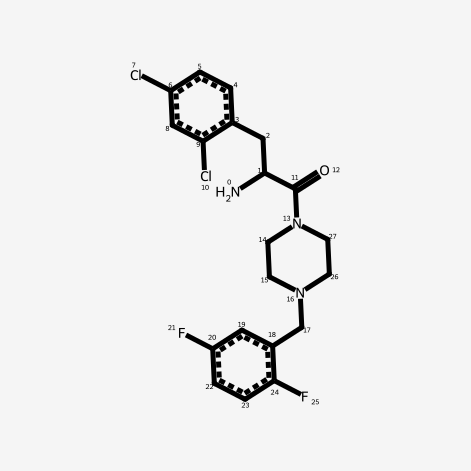 NC(Cc1ccc(Cl)cc1Cl)C(=O)N1CCN(Cc2cc(F)ccc2F)CC1